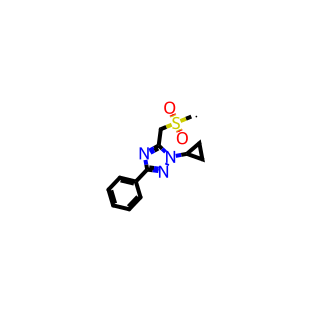 [CH2]S(=O)(=O)Cc1nc(-c2ccccc2)nn1C1CC1